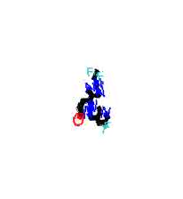 Cc1ncc(F)cc1Cn1nc(-c2cnc(N(C)CC(C)(F)F)nc2)ccc1=O